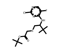 CC(C)(C)OC(=O)CSCC(Nc1nc(Cl)ncc1F)C(C)(C)C